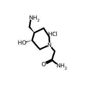 Cl.NC[C@H]1CCN(CC(N)=O)C[C@@H]1O